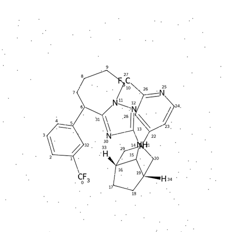 FC(F)(F)c1cccc(C2CCCCn3nc(NC4[C@@H]5CC[C@H]4CN(c4ccnc(C(F)(F)F)c4)C5)nc32)c1